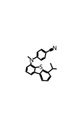 CC(C)c1cccc2c1sc1c(N(C)c3ccc(C#N)cc3)cccc12